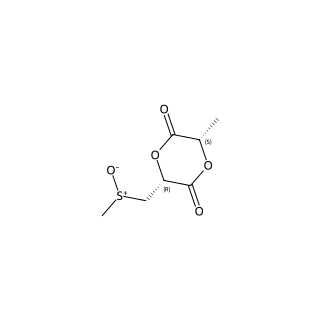 C[C@@H]1OC(=O)[C@H](C[S+](C)[O-])OC1=O